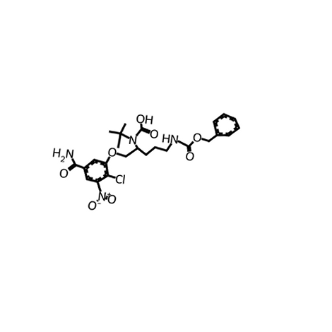 CC(C)(C)N(C(=O)O)C(CCCNC(=O)OCc1ccccc1)COc1cc(C(N)=O)cc([N+](=O)[O-])c1Cl